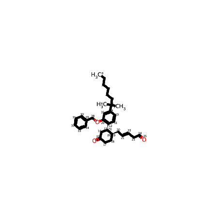 CCCCCCC(C)(C)c1ccc([C@H]2CC(=O)CC[C@@H]2CC=CCC=O)c(OCc2ccccc2)c1